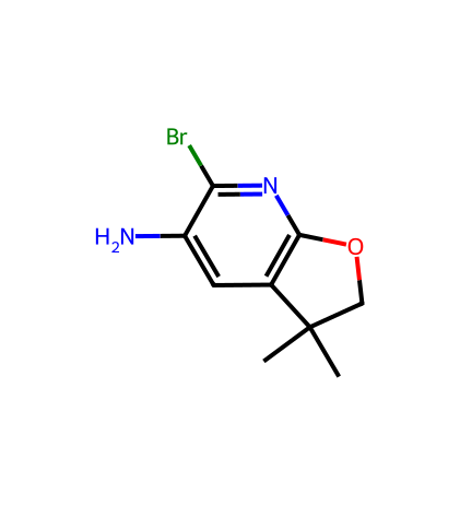 CC1(C)COc2nc(Br)c(N)cc21